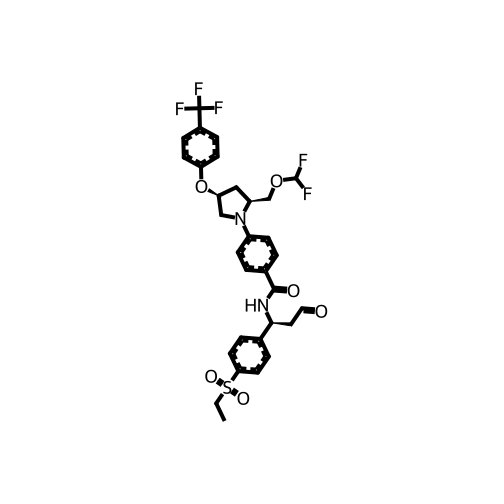 CCS(=O)(=O)c1ccc([C@H](CC=O)NC(=O)c2ccc(N3C[C@@H](Oc4ccc(C(F)(F)F)cc4)C[C@H]3COC(F)F)cc2)cc1